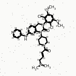 COc1cc(OC)c(Cl)c(N2Cc3cnc(Nc4ccncc4)nc3N(C3CCN(C(=O)/C=C/CN(C)C)CC3)C2=O)c1Cl